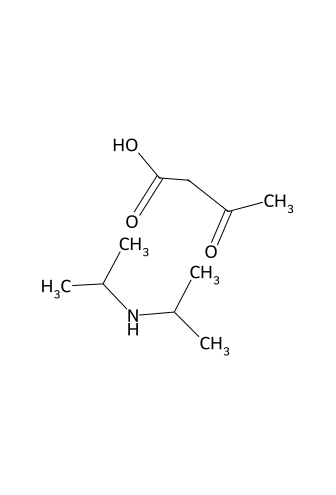 CC(=O)CC(=O)O.CC(C)NC(C)C